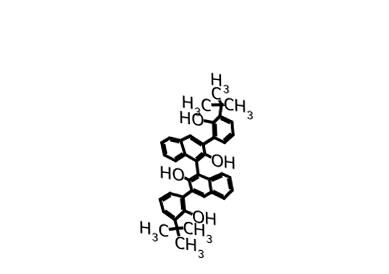 CC(C)(C)c1cccc(-c2cc3ccccc3c(-c3c(O)c(-c4cccc(C(C)(C)C)c4O)cc4ccccc34)c2O)c1O